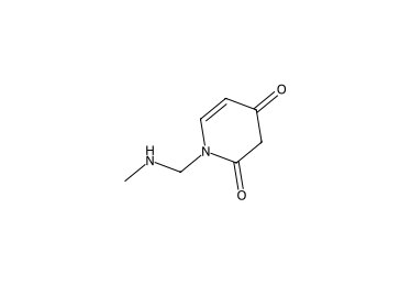 CNCN1C=CC(=O)CC1=O